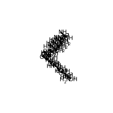 CC(C)[C@H](N)C(=O)O.C[C@@H](O)[C@H](N)C(=O)O.N=C(N)NCCC[C@H](N)C(=O)O.N=C(N)NCCC[C@H](N)C(=O)O.N=C(N)NCCC[C@H](N)C(=O)O.N=C(N)NCCC[C@H](N)C(=O)O.NC(=O)CC[C@H](N)C(=O)O.NCC(=O)O.NCCCC[C@H](N)C(=O)O.N[C@@H](CO)C(=O)O.N[C@@H](Cc1c[nH]cn1)C(=O)O.N[C@@H](Cc1ccc(O)cc1)C(=O)O